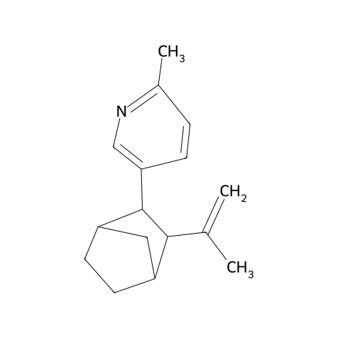 C=C(C)C1C2CCC(C2)C1c1ccc(C)nc1